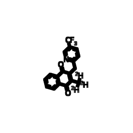 [2H]C([2H])([2H])C1=C(Cc2ccc(C(F)(F)F)cn2)C(=O)c2ccccc2C1=O